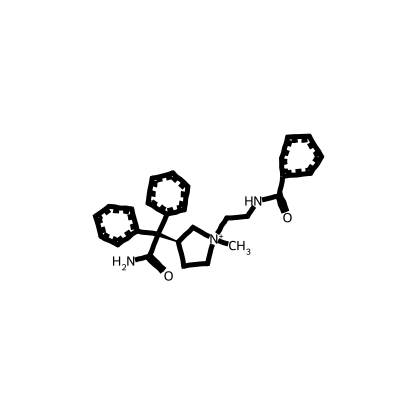 C[N+]1(CCNC(=O)c2ccccc2)CC[C@@H](C(C(N)=O)(c2ccccc2)c2ccccc2)C1